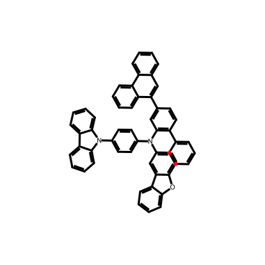 c1ccc(-c2ccc(-c3cc4ccccc4c4ccccc34)cc2N(c2ccc(-n3c4ccccc4c4ccccc43)cc2)c2ccc3oc4ccccc4c3c2)cc1